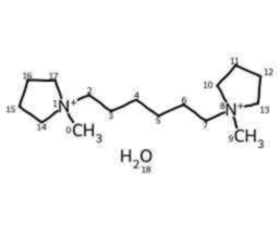 C[N+]1(CCCCCC[N+]2(C)CCCC2)CCCC1.O